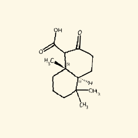 CC1(C)CCC[C@]2(C)C(C(=O)O)C(=O)CC[C@@H]12